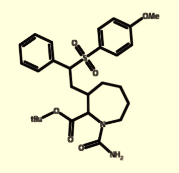 COc1ccc(S(=O)(=O)C(CC2CCCCN(C(N)=O)C2C(=O)OC(C)(C)C)c2ccccc2)cc1